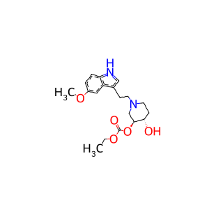 CCOC(=O)O[C@H]1CN(CCc2c[nH]c3ccc(OC)cc23)CC[C@@H]1O